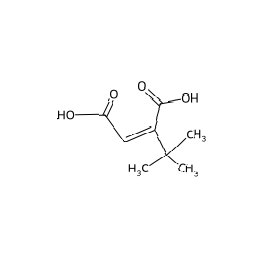 CC(C)(C)/C(=C/C(=O)O)C(=O)O